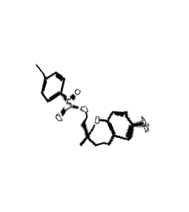 Cc1ccc(S(=O)(=O)OCC2(C)CCc3cc(Br)ccc3O2)cc1